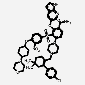 CC1(C)CCC(CN2CCN(c3ccc(C(N)=O)c(Oc4cnc5[nH]ccc5c4)c3S(=O)(=O)c3ccc(OC4CCC(N5CCOCC5)CC4)c([N+](=O)[O-])c3)CC2)=C(c2ccc(Cl)cc2)C1